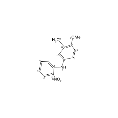 COc1ncc(Nc2ccccc2[N+](=O)[O-])cc1C